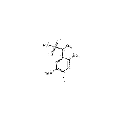 COc1cc(N(C)S(C)(=O)=O)c([N+](=O)[O-])cc1F